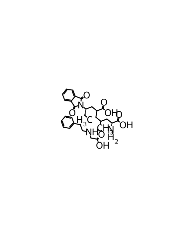 CC[C@H](CC(CC(C)C[C@H](N)C(=O)O)C(=O)O)N1C(=O)c2ccccc2C1=O.O=C(O)CNCCc1ccccc1